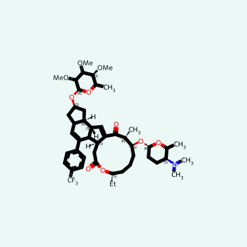 CC[C@H]1CCC[C@H](O[C@H]2CC[C@H](N(C)C)C(C)O2)[C@@H](C)C(=O)C2=C[C@@H]3C(C(c4ccc(C(F)(F)F)cc4)=CC4C[C@@H](O[C@@H]5OC(C)[C@H](OC)C(OC)C5OC)C[C@H]43)[C@@H]2CC(=O)O1